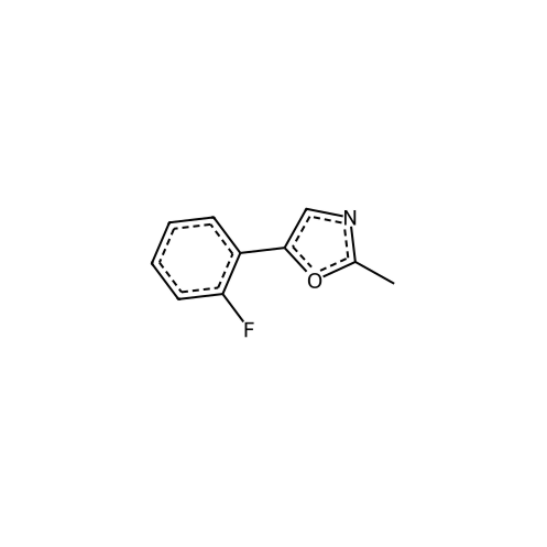 Cc1ncc(-c2ccccc2F)o1